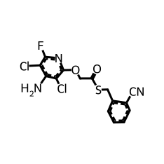 N#Cc1ccccc1CSC(=O)COc1nc(F)c(Cl)c(N)c1Cl